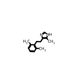 Cc1cccc(C)c1CCc1nc[nH]c1C